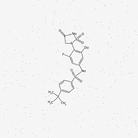 CC(C)(C)c1ccc(S(=O)(=O)Nc2cc(O)c(N3CC(=O)NS3(=O)=O)c(F)c2)cc1